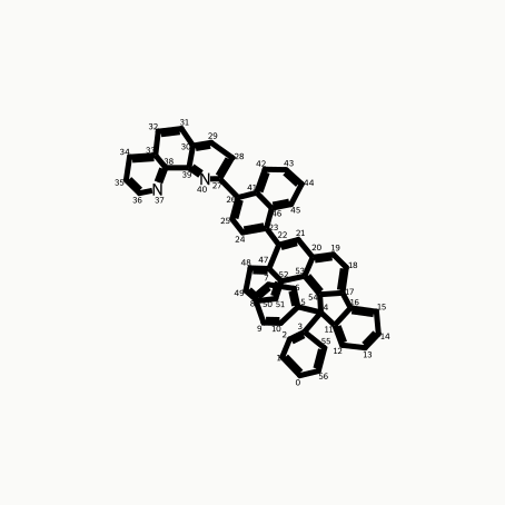 c1ccc(C2(c3ccccc3)c3ccccc3-c3ccc4cc(-c5ccc(-c6ccc7ccc8cccnc8c7n6)c6ccccc56)c5ccccc5c4c32)cc1